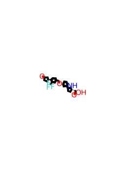 O=C(O)C[C@@H]1CCc2c1[nH]c1ccc(OCc3ccc([C@H]4CCC(=O)C4)c(C(F)(F)F)c3)cc21